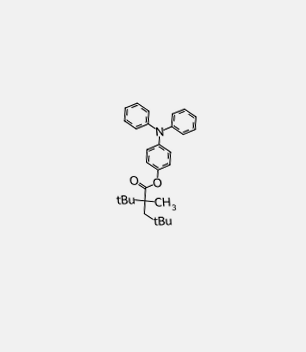 CC(C)(C)CC(C)(C(=O)Oc1ccc(N(c2ccccc2)c2ccccc2)cc1)C(C)(C)C